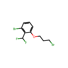 FC(F)c1c(Br)cccc1OCCCBr